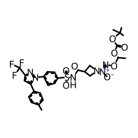 Cc1ccc(-c2cc(C(F)(F)F)nn2-c2ccc(S(=O)(=O)NC(=O)C3CN(/[N+]([O-])=N/OC(C)OC(=O)OC(C)(C)C)C3)cc2)cc1